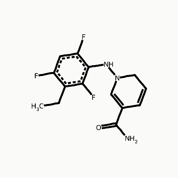 CCc1c(F)cc(F)c(NN2C=C(C(N)=O)C=CC2)c1F